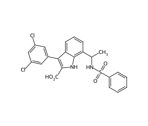 CC(NS(=O)(=O)c1ccccc1)c1cccc2c(-c3cc(Cl)cc(Cl)c3)c(C(=O)O)[nH]c12